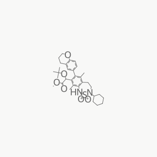 COC(=O)[C@@H](OC(C)(C)C)c1c(C)c2c(c(C)c1-c1ccc3c(c1)CCCO3)CCN(C1CCCCC1)S(=O)(=O)N2